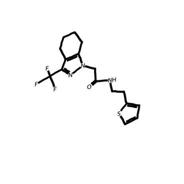 O=C(Cn1nc(C(F)(F)F)c2c1CCCC2)NCCc1cccs1